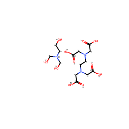 O=C(O)CN(CCN(CC(=O)O)CC(=O)O)CC(=O)O.OCCN(CO)CO